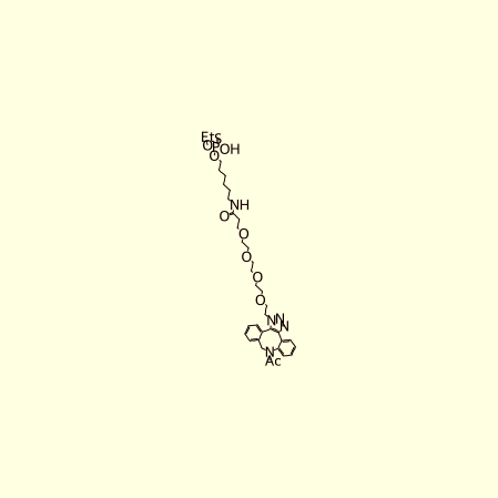 CCOP(O)(=S)OCCCCCCNC(=O)CCOCCOCCOCCOCCn1nnc2c1-c1ccccc1CN(C(C)=O)c1ccccc1-2